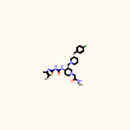 CC(=O)c1sc(NC(=O)N[C@@H]2CCN(CC(=O)NC(C)(C)C)C[C@@H]2CN2CCC[C@@H](Cc3ccc(F)cc3)C2)nc1C